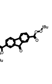 CC(C)(C)OOC(=O)c1ccc2c(c1)C(=O)c1cc(C(=O)OOC(C)(C)C)ccc1-2